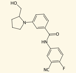 N#Cc1cc(NC(=O)c2cccc(N3CCCC3CO)c2)ccc1F